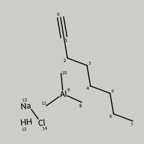 C#CCCCCCC.[CH3][Al]([CH3])[CH3].[HH].[Na][Cl]